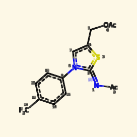 CC(=O)/N=c1\sc(COC(C)=O)cn1-c1ccc(C(F)(F)F)cc1